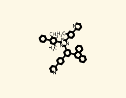 Cc1cc(-c2nc(-c3cc(-c4ccc(-c5cccnc5)cc4)cc(-c4cc5ccccc5c5ccccc45)c3)nc(-c3ccc(-c4ccccn4)cc3C)n2)c(C)cc1-c1ccccc1